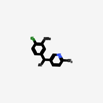 COc1cc(C(C(C)=O)c2ccc(C(F)(F)F)nc2)ccc1Cl